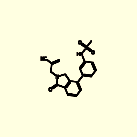 C=C(C#N)CN1Cc2c(cccc2-c2cccc(NS(C)(=O)=O)c2)C1=O